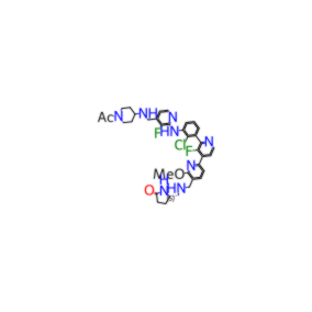 COc1nc(-c2ccnc(-c3cccc(Nc4nccc(CNC5CCN(C(C)=O)CC5)c4F)c3Cl)c2F)ccc1CNC[C@@H]1CCC(=O)N1